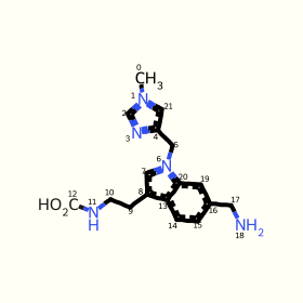 Cn1cnc(Cn2cc(CCNC(=O)O)c3ccc(CN)cc32)c1